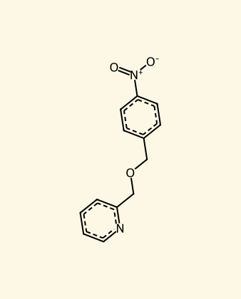 O=[N+]([O-])c1ccc(COCc2ccccn2)cc1